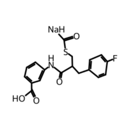 CC(=O)SCC(Cc1ccc(F)cc1)C(=O)Nc1cccc(C(=O)O)c1.[NaH]